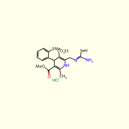 CCOC(=O)C1=C(CN=C(N)[SeH])NC(C)=C(C(=O)OC)C1c1ccccc1SC.Cl